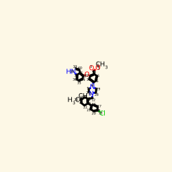 COC(=O)c1ccc(N2CCN(CC3=C(c4ccc(Cl)cc4)CCC(C)(C)C3)CC2)cc1Oc1cccc2[nH]ccc12